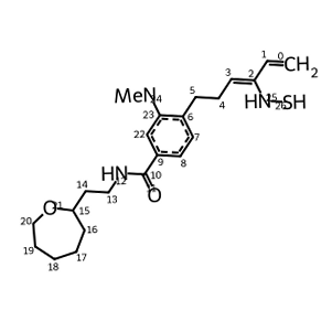 C=C/C(=C/CCc1ccc(C(=O)NCCC2CCCCCO2)cc1NC)NS